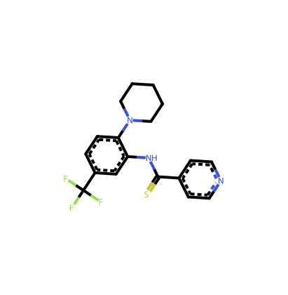 FC(F)(F)c1ccc(N2CCCCC2)c(NC(=S)c2ccncc2)c1